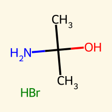 Br.CC(C)(N)O